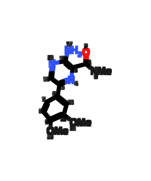 CNC(=O)c1nc(-c2ccc(OC)c(OC)c2)cnc1N